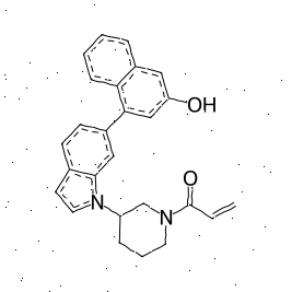 C=CC(=O)N1CCCC(n2ccc3ccc(-c4cc(O)cc5ccccc45)cc32)C1